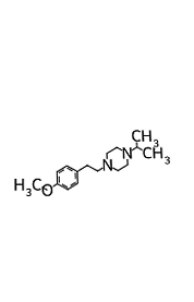 COc1ccc(CCN2CCN(C(C)C)CC2)cc1